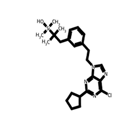 CC(C)(Cc1cccc(CCn2cnc3c(Cl)nc(C4CCCC4)nc32)c1)[Si](C)(C)O